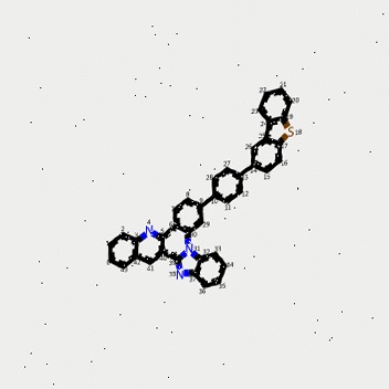 c1ccc2nc3c4ccc(-c5ccc(-c6ccc7sc8ccccc8c7c6)cc5)cc4n4c5ccccc5nc4c3cc2c1